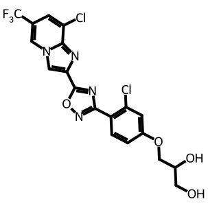 OCC(O)COc1ccc(-c2noc(-c3cn4cc(C(F)(F)F)cc(Cl)c4n3)n2)c(Cl)c1